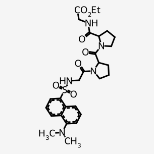 CCOC(=O)CNC(=O)C1CCCN1C(=O)C1CCCN1C(=O)CNS(=O)(=O)c1cccc2c(N(C)C)cccc12